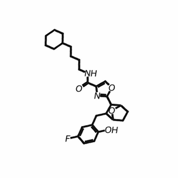 O=C(NCCCCC1CCCCC1)c1coc(C2C3CCC(O3)C2Cc2cc(F)ccc2O)n1